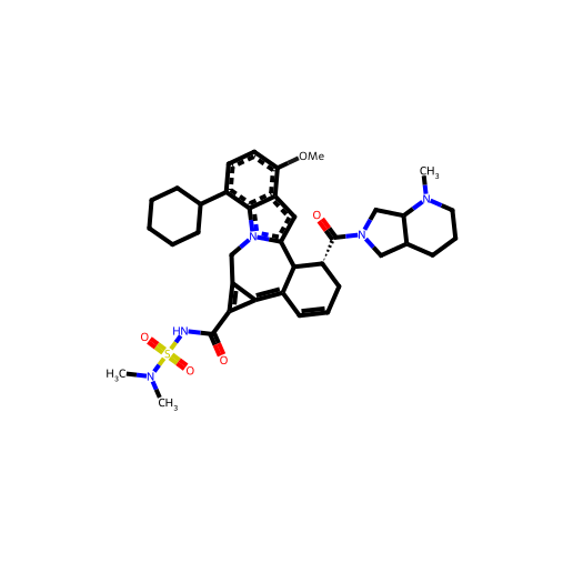 COc1ccc(C2CCCCC2)c2c1cc1n2CC2=C(C(=O)NS(=O)(=O)N(C)C)C2=C2C=CC[C@@H](C(=O)N3CC4CCCN(C)C4C3)C21